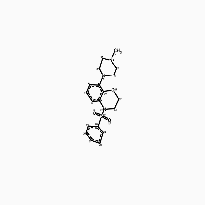 CN1CCN(c2cccc3c2OCCN3S(=O)(=O)c2ccccc2)CC1